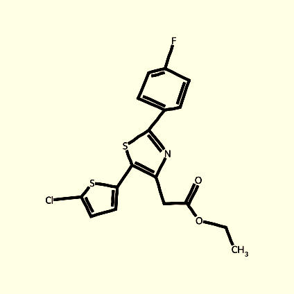 CCOC(=O)Cc1nc(-c2ccc(F)cc2)sc1-c1ccc(Cl)s1